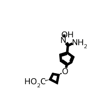 N/C(=N\O)c1ccc(O[C@H]2C[C@@H](C(=O)O)C2)cc1